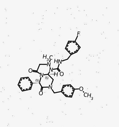 COc1ccc(CN2C[C@H]3N(C(=O)CN(C)N3C(=O)NCc3ccc(F)cc3)[C@@H](c3ccccc3)C2=O)cc1